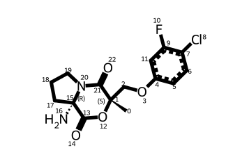 C[C@@]1(COc2ccc(Cl)c(F)c2)OC(=O)[C@@]2(N)CCCN2C1=O